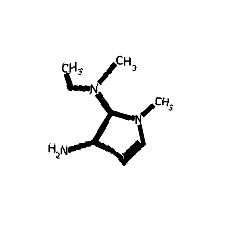 CCN(C)C1C(N)C=CN1C